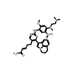 COc1cc(N(C)CCN(C)C)c([N+](=O)[O-])cc1Nc1ncc(CC/C=C/C(N)=O)c(-c2cn3c4c(cccc24)CCC3)n1